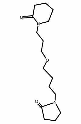 O=C1CCCCN1CCCOCCCCN1CCCC1=O